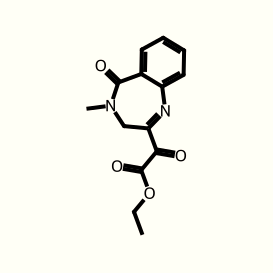 CCOC(=O)C(=O)C1=Nc2ccccc2C(=O)N(C)C1